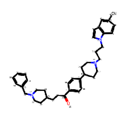 N#Cc1ccc2c(ccn2CCCN2CCC(c3ccc(C(=O)CCC4CCN(Cc5ccccc5)CC4)cc3)CC2)c1